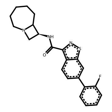 O=C(N[C@H]1CN2CCCCCC12)c1nsc2cc(-c3ccccc3F)ccc12